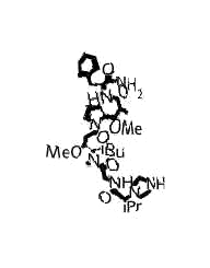 CC[C@H](C)[C@@H](C(CC(=O)N1CCC[C@H]1[C@H](OC)C(C)C(=O)N[C@@H](Cc1ccccc1)C(N)=O)OC)N(C)C(=O)CNC(=O)[C@H](C(C)C)N1CCNCC1